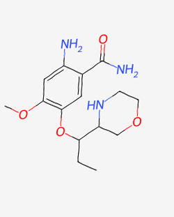 CCC(Oc1cc(C(N)=O)c(N)cc1OC)C1COCCN1